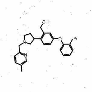 Cc1ccc(CN2CCC(c3ccc(Oc4ccccc4C(C)C)cc3CO)C2)nc1